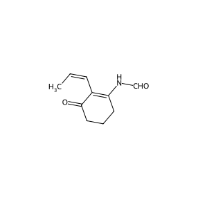 C/C=C\C1=C(NC=O)CCCC1=O